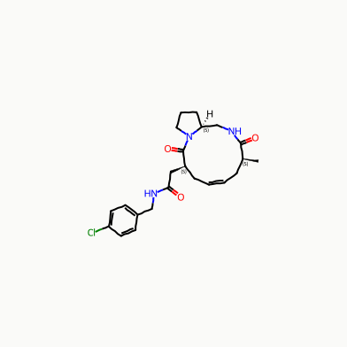 C[C@H]1CC=CC[C@@H](CC(=O)NCc2ccc(Cl)cc2)C(=O)N2CCC[C@H]2CNC1=O